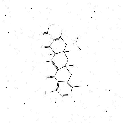 CN(C)[C@@H]1C(O)=C(C(N)=O)C(=O)[C@@]2(O)C(O)=C3C(=O)c4c(O)cnc(F)c4C[C@H]3C[C@@H]12